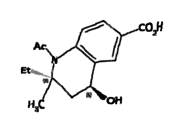 CC[C@@]1(C)C[C@H](O)c2cc(C(=O)O)ccc2N1C(C)=O